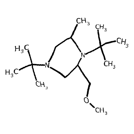 COCC1CN(C(C)(C)C)CC(C)N1C(C)(C)C